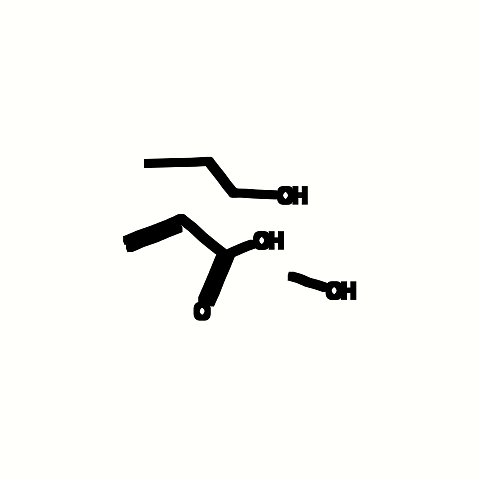 C=CC(=O)O.CCCO.CO